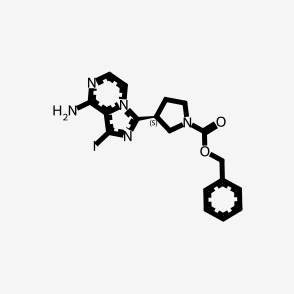 Nc1nccn2c([C@H]3CCN(C(=O)OCc4ccccc4)C3)nc(I)c12